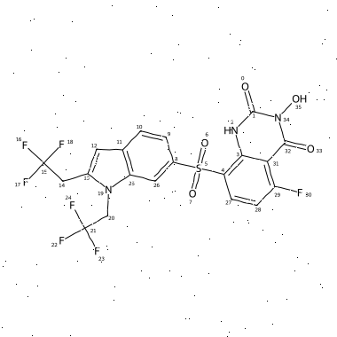 O=c1[nH]c2c(S(=O)(=O)c3ccc4cc(CC(F)(F)F)n(CC(F)(F)F)c4c3)ccc(F)c2c(=O)n1O